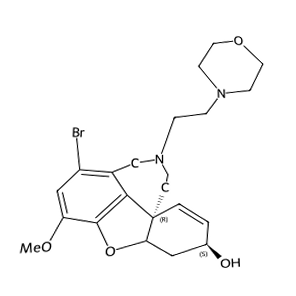 COc1cc(Br)c2c3c1OC1C[C@H](O)C=C[C@]31CCN(CCN1CCOCC1)C2